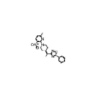 CC(=C1CCN(c2nc(C)ccc2[N+](=O)[O-])CC1)c1noc(-c2ccccc2)n1